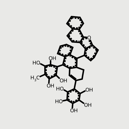 Cc1c(O)c(O)c(-c2c3c(c(-c4cccc5oc6c7ccccc7ccc6c45)c4ccccc24)CCC(c2c(O)c(O)c(O)c(O)c2O)=C3)c(O)c1O